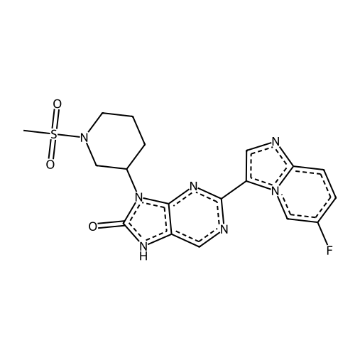 CS(=O)(=O)N1CCCC(n2c(=O)[nH]c3cnc(-c4cnc5ccc(F)cn45)nc32)C1